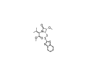 COC(=O)C(=C(C)C)N1C(=O)[C@H](OC)[C@@H]1SSc1nc2ccccc2s1